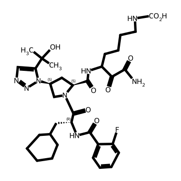 CC(C)(O)c1cnnn1[C@H]1C[C@@H](C(=O)NC(CCCCNC(=O)O)C(=O)C(N)=O)N(C(=O)[C@@H](CC2CCCCC2)NC(=O)c2ccccc2F)C1